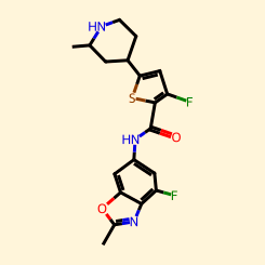 Cc1nc2c(F)cc(NC(=O)c3sc(C4CCNC(C)C4)cc3F)cc2o1